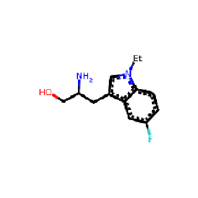 CCn1cc(CC(N)CO)c2cc(F)ccc21